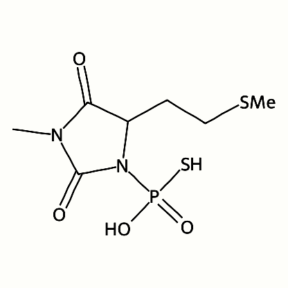 CSCCC1C(=O)N(C)C(=O)N1P(=O)(O)S